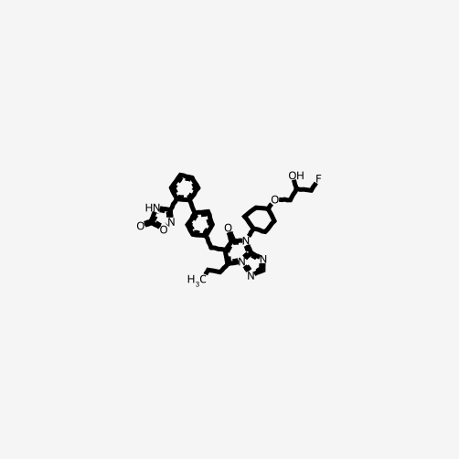 CCCc1c(Cc2ccc(-c3ccccc3-c3noc(=O)[nH]3)cc2)c(=O)n(C2CCC(OCC(O)CF)CC2)c2ncnn12